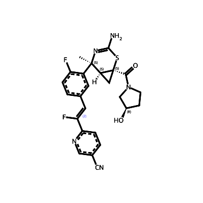 C[C@]1(c2cc(/C=C(\F)c3ccc(C#N)cn3)ccc2F)N=C(N)S[C@@]2(C(=O)N3CC[C@@H](O)C3)C[C@H]21